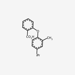 Cc1cc(C(C)C)ccc1Oc1ccccc1C(=O)O